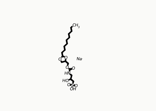 CCCCCCCCCCC1OCC(COC(=O)NCC(O)CS(=O)(=O)O)O1.[Na]